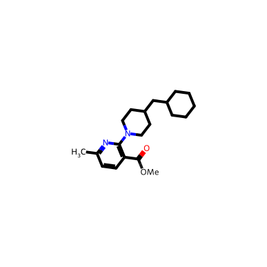 COC(=O)c1ccc(C)nc1N1CCC(CC2CCCCC2)CC1